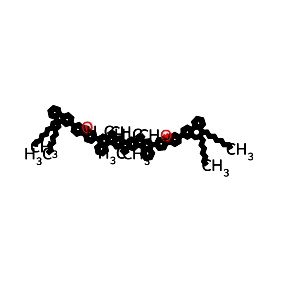 CCCCCCCCC1c2ccccc2-c2ccc(-c3ccc4c(c3)oc3cc(-c5cc6c(c7ccccc57)-c5cc7c(cc5C6(C)C)-c5cc6c(cc5C7(C)C)-c5c(cc(-c7ccc8c(c7)oc7cc(-c9ccc%10c(c9)C(CCCCCCCC)(CCCCCCCC)c9ccccc9-%10)ccc78)c7ccccc57)C6(C)C)ccc34)cc2CC1CCCCCCC